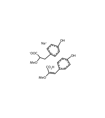 COC(=Cc1ccc(O)cc1)C(=O)O.COC(Cc1ccc(O)cc1)C(=O)[O-].[Na+]